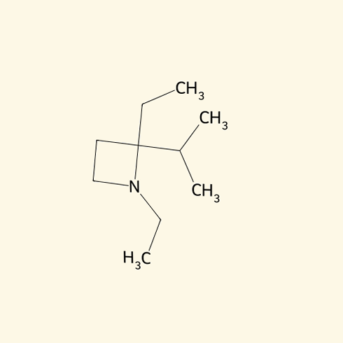 CCN1CCC1(CC)C(C)C